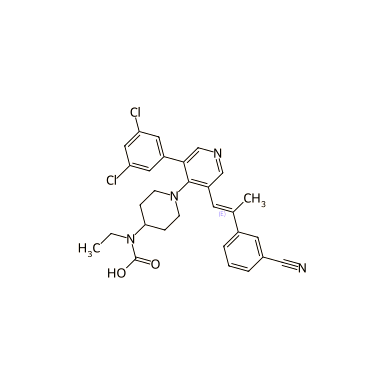 CCN(C(=O)O)C1CCN(c2c(/C=C(\C)c3cccc(C#N)c3)cncc2-c2cc(Cl)cc(Cl)c2)CC1